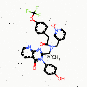 C[C@H](c1nc2ncccc2c(=O)n1-c1ccc(O)cc1)N(Cc1ccc[n+]([O-])c1)C(=O)Cc1ccc(OC(F)(F)F)cc1